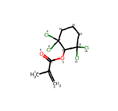 C=C(C)C(=O)OC1C(Cl)(Cl)CCCC1(Cl)Cl